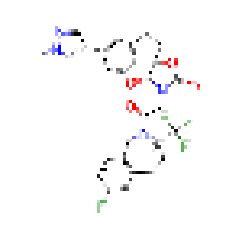 Cn1cc(-c2ccc3c(c2)CCC32OC(=O)N(CC(=O)N3Cc4ccc(F)cc4CC[C@H]3C(F)(F)F)C2=O)cn1